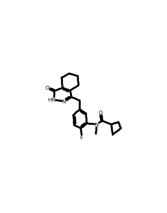 CN(C(=O)C1CCC1)c1cc(Cc2n[nH]c(=O)c3c2CCCC3)ccc1F